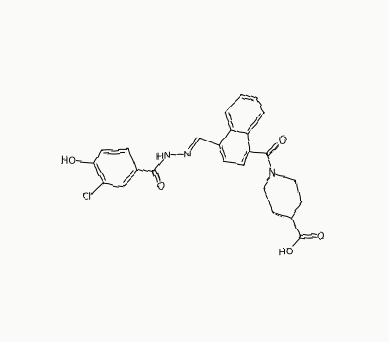 O=C(N/N=C/c1ccc(C(=O)N2CCC(C(=O)O)CC2)c2ccccc12)c1ccc(O)c(Cl)c1